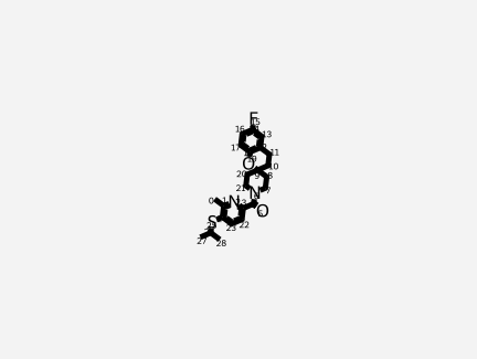 Cc1nc(C(=O)N2CCC3(CCc4cc(F)ccc4O3)CC2)ccc1SC(C)C